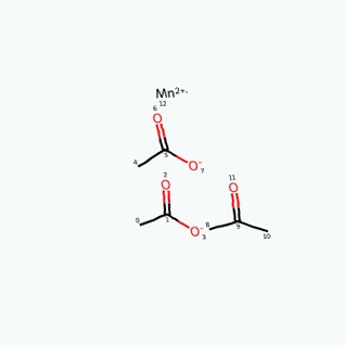 CC(=O)[O-].CC(=O)[O-].CC(C)=O.[Mn+2]